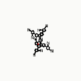 N#Cc1ccc(-c2ccc3c(c2)c2cc(-c4ccc(C#N)cc4C#N)ccc2n3-c2cc(-c3ccccc3C#N)c(-n3c4ccc(-c5ccc(C#N)cc5C#N)cc4c4cc(-c5ccc(C#N)cc5C#N)ccc43)cn2)c(C#N)c1